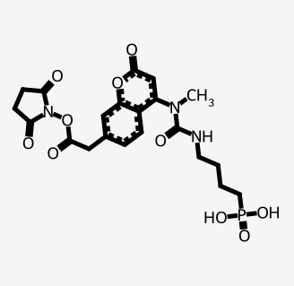 CN(C(=O)NCCCCP(=O)(O)O)c1cc(=O)oc2cc(CC(=O)ON3C(=O)CCC3=O)ccc12